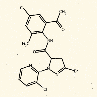 CC(=O)c1cc(Cl)cc(C)c1NC(=O)C1CC(Br)=NN1c1ncccc1Cl